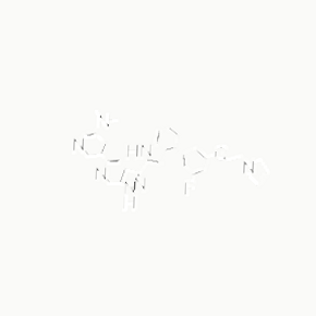 CN(C)c1cncc(-c2cc3c(-c4cc5c(-c6cc(F)cc(OCCN7CCCC7)c6)cccc5[nH]4)n[nH]c3cn2)c1